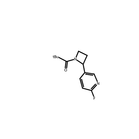 CC(C)(C)C(=O)N1CCC1c1ccc(F)nc1